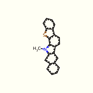 Cn1c2cc3ccccc3cc2c2ccc3c4ccccc4sc3c21